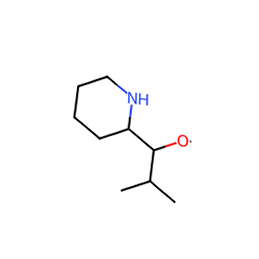 CC(C)C([O])C1CCCCN1